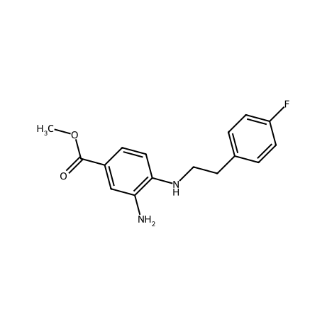 COC(=O)c1ccc(NCCc2ccc(F)cc2)c(N)c1